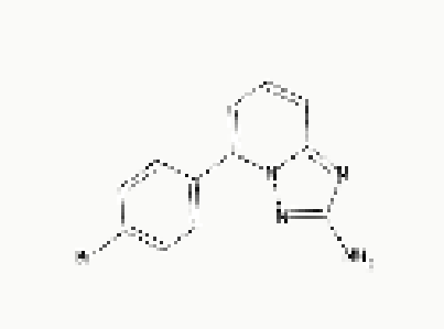 Nc1nc2cccc(-c3ccc(Br)cc3)n2n1